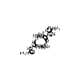 Nc1ncnc2c1ncn2[C@@H]1C[C@@H]2COP(=O)(S)O[C@@H]3C[C@H](n4cnc5c(N)ccnc54)O[C@@H]3COP(=O)(S)O[C@@H]2C1F